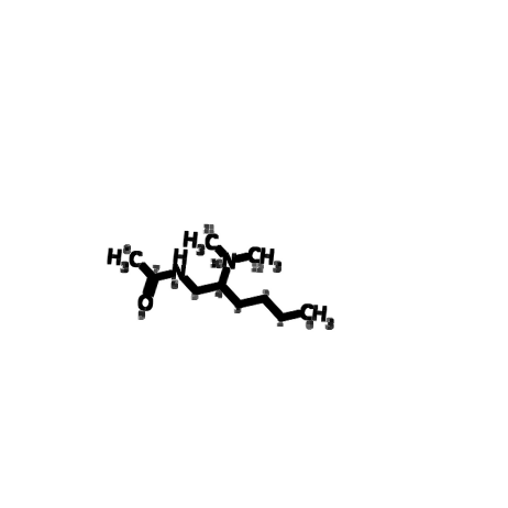 CCCCC(CNC(C)=O)N(C)C